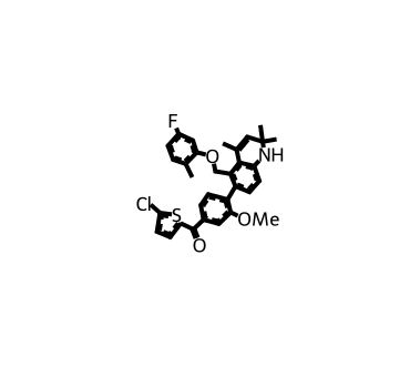 COc1cc(C(=O)c2ccc(Cl)s2)ccc1-c1ccc2c(c1COc1cc(F)ccc1C)C(C)=CC(C)(C)N2